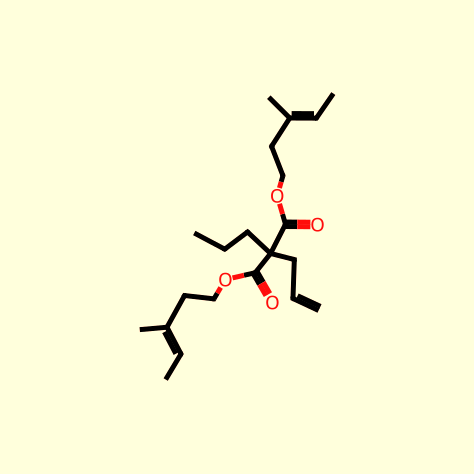 C=CCC(CCC)(C(=O)OCCC(C)=CC)C(=O)OCCC(C)=CC